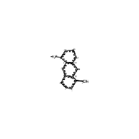 Oc1cccc2cc3c(O)cccc3cc12